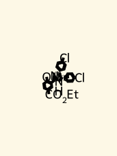 CCOC(=O)c1ccc(OC)c(C2=N[C@H](c3ccc(Cl)cc3)[C@H](c3ccc(Cl)cc3)N2)c1